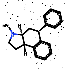 CCCN1CC[C@@H]2c3ccccc3[C@H](c3ccccc3)C[C@@H]21